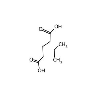 CCC.O=C(O)CCCC(=O)O